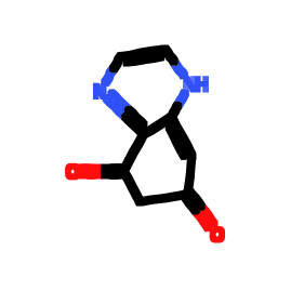 O=C1C=C2NC=CN=C2C(=O)C1